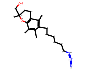 Cc1c(C)c2c(c(C)c1CCCCCCN=[N+]=[N-])CCC(C)(CO)O2